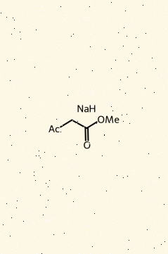 COC(=O)CC(C)=O.[NaH]